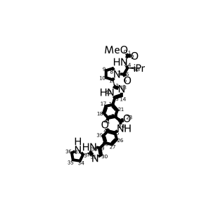 COC(=O)N[C@H](C(=O)N1CCC[C@H]1c1ncc(-c2ccc3c(c2)C(=O)Nc2ccc(-c4cnc([C@@H]5CCCN5)[nH]4)cc2O3)[nH]1)C(C)C